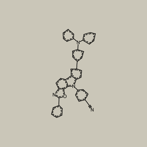 N#Cc1ccc(-n2c3ccc(-c4ccc(N(c5ccccc5)c5ccccc5)cc4)cc3c3ccc4nc(-c5ccccc5)oc4c32)cc1